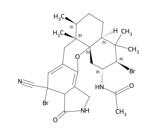 CC(=O)N[C@@H]1C[C@@]23OC4=C5CNC(=O)C5C(Br)(C#N)C=C4C[C@]2(C)[C@@H](C)CC[C@H]3C(C)(C)[C@H]1Br